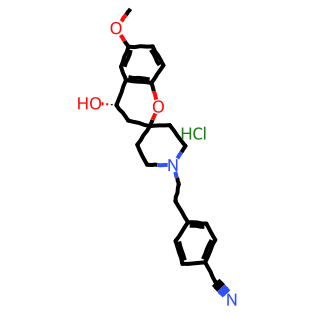 COc1ccc2c(c1)[C@@H](O)CC1(CCN(CCc3ccc(C#N)cc3)CC1)O2.Cl